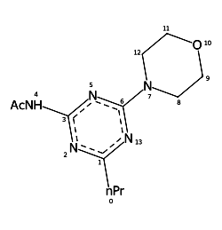 CCCc1nc(NC(C)=O)nc(N2CCOCC2)n1